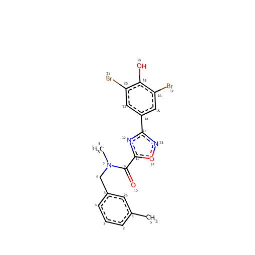 Cc1cccc(CN(C)C(=O)c2nc(-c3cc(Br)c(O)c(Br)c3)no2)c1